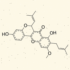 COc1cc2oc3c(c(=O)c2c(O)c1CC=C(C)C)C(C=C(C)C)Oc1cc(O)ccc1-3